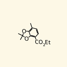 CCOC(=O)c1ccc(C)c2c1OC(C)(C)O2